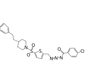 O=C(N=[N+]=NCc1ccc(S(=O)(=O)N2CCC(CCc3ccccc3)CC2)s1)c1ccc(Cl)cc1